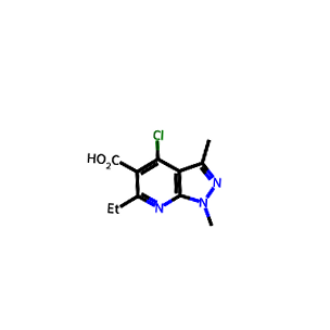 CCc1nc2c(c(C)nn2C)c(Cl)c1C(=O)O